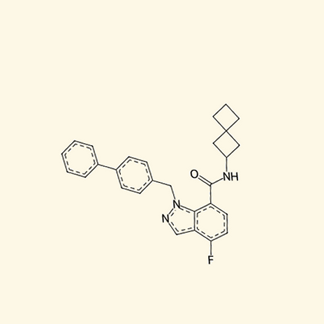 O=C(NC1CC2(CCC2)C1)c1ccc(F)c2cnn(Cc3ccc(-c4ccccc4)cc3)c12